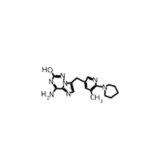 Cc1cc(Cc2cnc3c(N)nc(O)nn23)cnc1N1CCCCC1